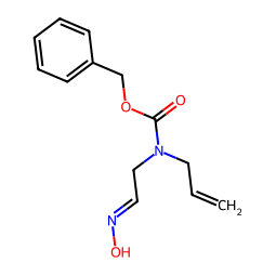 C=CCN(C/C=N/O)C(=O)OCc1ccccc1